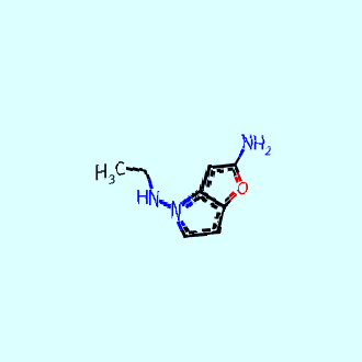 CCNn1ccc2oc(N)cc21